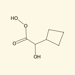 O=C(OO)C(O)C1CCC1